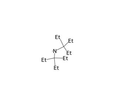 CCC(CC)(CC)[N]C(CC)(CC)CC